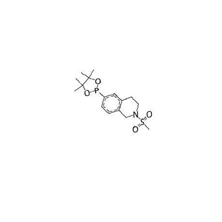 CC1(C)OP(c2ccc3c(c2)CCN(S(C)(=O)=O)C3)OC1(C)C